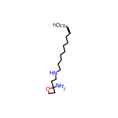 CCCCCCCC/C=C\CCCCCCCCNCCC1(N)CCO1